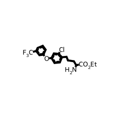 CCOC(=O)C(N)CCCc1ccc(Oc2cccc(C(F)(F)F)c2)cc1Cl